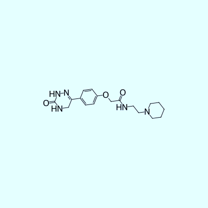 O=C(COc1ccc(C2=NNC(=O)NC2)cc1)NCCN1CCCCC1